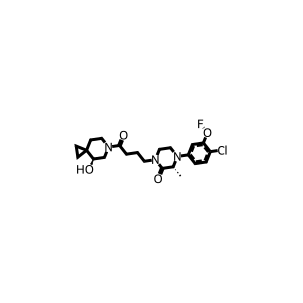 C[C@@H]1C(=O)N(CCCC(=O)N2CCC3(CC3)[C@H](O)C2)CCN1c1ccc(Cl)c(OF)c1